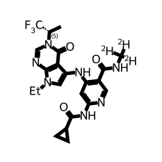 [2H]C([2H])([2H])NC(=O)c1cnc(NC(=O)C2CC2)cc1Nc1cn(CC)c2ncn([C@@H](C)C(F)(F)F)c(=O)c12